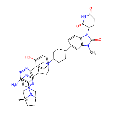 Cn1c(=O)n(C2CCC(=O)NC2=O)c2ccc(C3CCC(N4CCC(c5nccc(N6C7CC[C@@H]6CN(c6cc(-c8ccccc8O)nnc6N)C7)n5)CC4)CC3)cc21